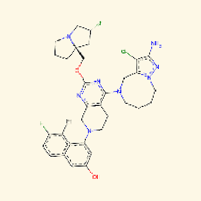 CCc1c(F)ccc2cc(O)cc(N3CCc4c(nc(OC[C@@]56CCCN5C[C@H](F)C6)nc4N4CCCCn5nc(N)c(Cl)c5C4)C3)c12